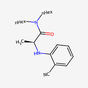 CCCCCCN(CCCCCC)C(=O)[C@H](C)Nc1ccccc1C#N